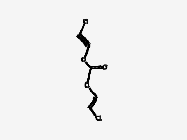 O=C(OC=CCl)OC=CCl